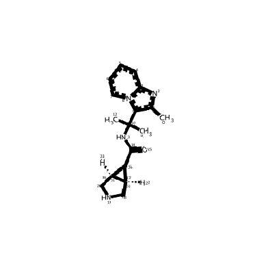 Cc1nc2ccccn2c1C(C)(C)NC(=O)C1[C@H]2CNC[C@@H]12